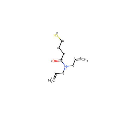 C=CCN(CC=C)C(=O)CCCS